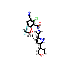 C[C@@H](Oc1ccc(C#N)c(Cl)c1C(=O)N1CC(c2ccc(C3CCOCC3)cn2)C1)C(F)(F)F